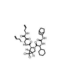 C=CCC[C@@H](NC(=O)[C@@H]1[C@@H]2[C@H](CN1C(=O)C(NC(=O)NC1CC3CCC1C3)C1CCCCC1)C2(Cl)Cl)C(=O)C(=O)NCC=C